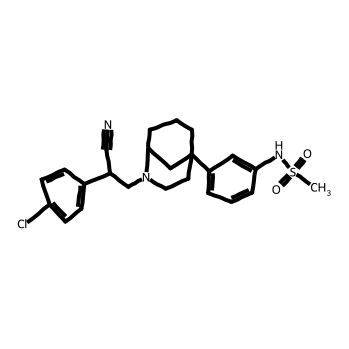 CS(=O)(=O)Nc1cccc(C23CCCC(C2)N(CC(C#N)c2ccc(Cl)cc2)CC3)c1